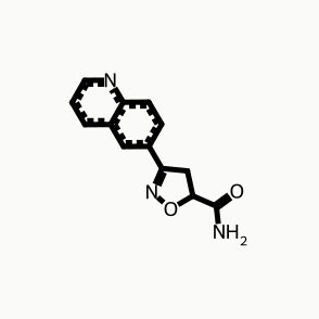 NC(=O)C1CC(c2ccc3ncccc3c2)=NO1